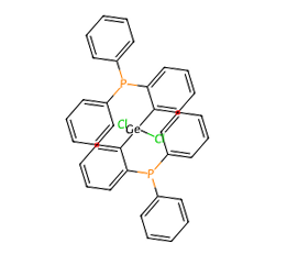 [Cl][Ge]([Cl])([c]1ccccc1P(c1ccccc1)c1ccccc1)[c]1ccccc1P(c1ccccc1)c1ccccc1